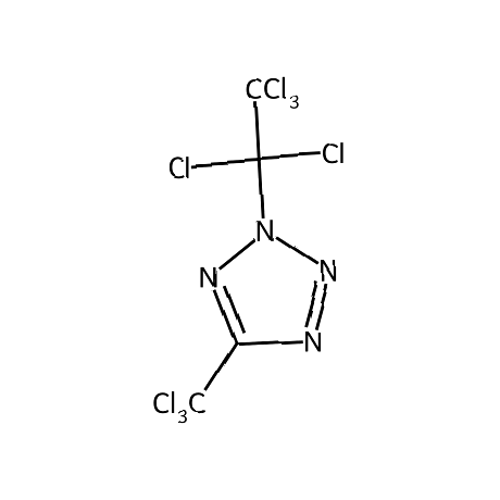 ClC(Cl)(Cl)c1nnn(C(Cl)(Cl)C(Cl)(Cl)Cl)n1